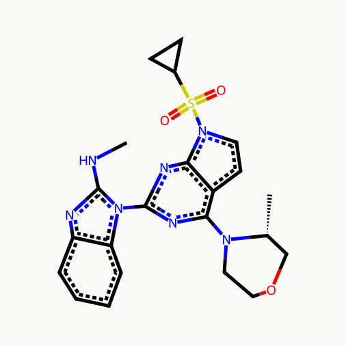 CNc1nc2ccccc2n1-c1nc(N2CCOC[C@H]2C)c2ccn(S(=O)(=O)C3CC3)c2n1